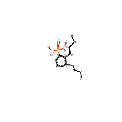 CCCCc1cccc(P(=O)(OC)OC)c1CCCC